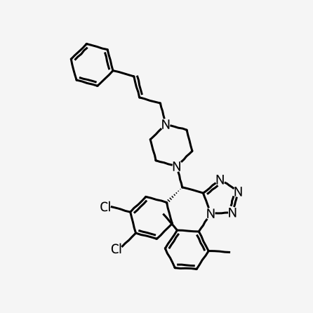 Cc1cccc(C)c1-n1nnnc1[C@H](C1C=C(Cl)C(Cl)=CC1)N1CCN(C/C=C/c2ccccc2)CC1